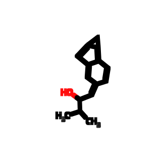 CC(C)C(O)C=c1ccc2c(c1)C=C1CC=21